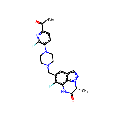 CNC(=O)c1ccc(N2CCN(Cc3cc4cnn5c4c(c3F)NC(=O)[C@H]5C)CC2)c(F)n1